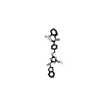 Nc1nc(NC2Cc3ccccc3C2)nc(OCc2ccc(C(=O)Nc3ccccc3N)cc2)n1